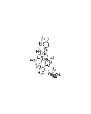 C=C(C(=O)[C@H](OC(=O)CC)[C@@H](C)[C@H]1[C@@H](OC(C)=O)C[C@@]2(C)[C@@H]3CC[C@H]4[C@H](C)C(=O)C=C[C@@]45C[C@@]35CC[C@]12C)[C@@H](C)CO[Si](C)(C)C(C)(C)C